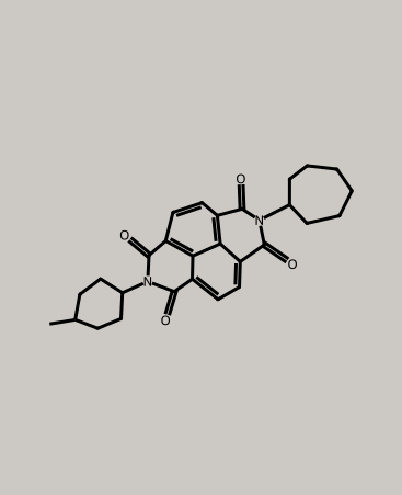 CC1CCC(N2C(=O)c3ccc4c5c(ccc(c35)C2=O)C(=O)N(C2CCCCCC2)C4=O)CC1